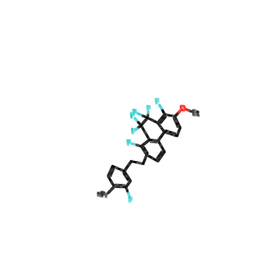 CCCc1ccc(CCc2ccc3c(c2F)C(F)(F)C(F)(F)c2c-3ccc(OCC)c2F)cc1F